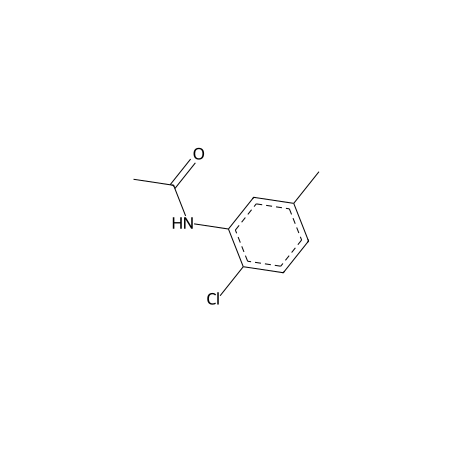 CC(=O)Nc1cc(C)ccc1Cl